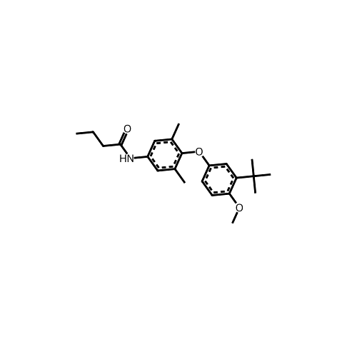 CCCC(=O)Nc1cc(C)c(Oc2ccc(OC)c(C(C)(C)C)c2)c(C)c1